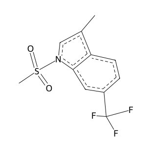 Cc1cn(S(C)(=O)=O)c2cc(C(F)(F)F)ccc12